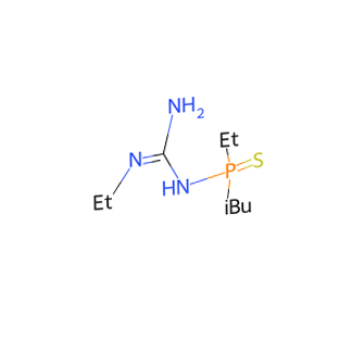 CCN=C(N)NP(=S)(CC)C(C)CC